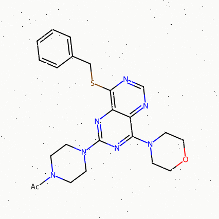 CC(=O)N1CCN(c2nc(N3CCOCC3)c3ncnc(SCc4ccccc4)c3n2)CC1